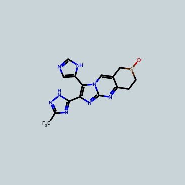 [O-][S+]1CCc2nc3nc(-c4nc(C(F)(F)F)n[nH]4)c(-c4cnc[nH]4)n3cc2C1